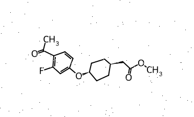 COC(=O)C[C@H]1CC[C@@H](Oc2ccc(C(C)=O)c(F)c2)CC1